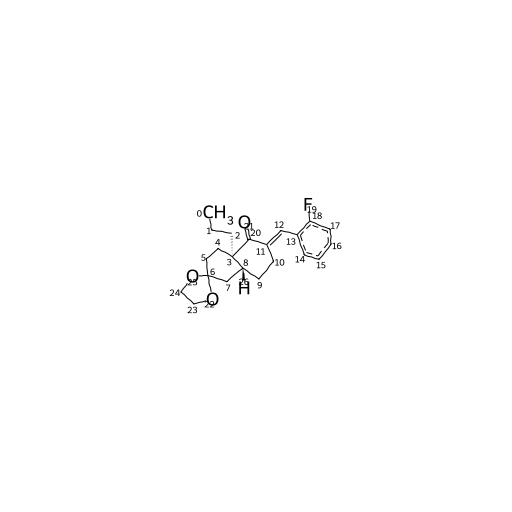 CCC[C@@]12CCC3(C[C@H]1CC/C(=C\c1ccccc1F)C2=O)OCCO3